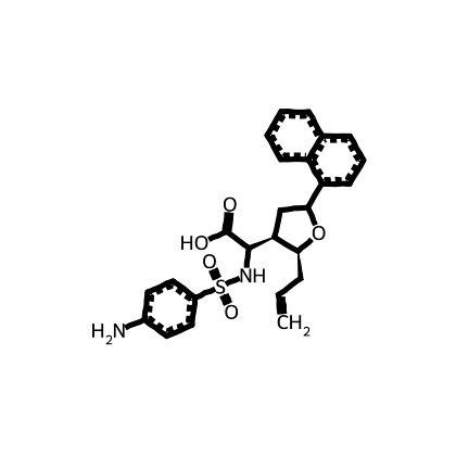 C=CC[C@@H]1OC(c2cccc3ccccc23)C[C@@H]1C(NS(=O)(=O)c1ccc(N)cc1)C(=O)O